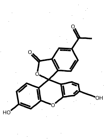 CC(=O)c1ccc2c(c1)C(=O)OC21c2ccc(O)cc2Oc2cc(O)ccc21